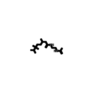 C=C(C)NCCNC(=C)CC(C)CCC(C)(C)C(C)C